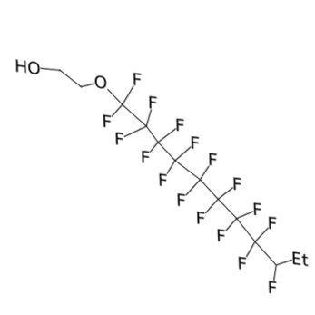 CCC(F)C(F)(F)C(F)(F)C(F)(F)C(F)(F)C(F)(F)C(F)(F)C(F)(F)C(F)(F)OCCO